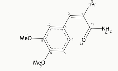 CCCC(=Cc1ccc(OC)c(OC)c1)C(N)=O